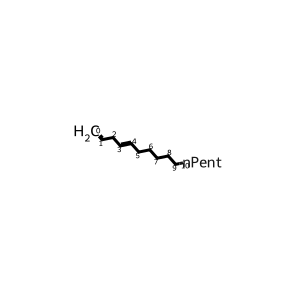 C=CCC=CCCCCCCCCCC